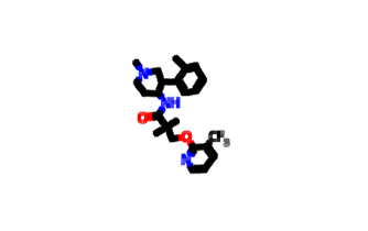 Cc1ccccc1C1CN(C)CCC1NC(=O)C(C)(C)COc1ncccc1C(F)(F)F